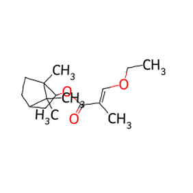 CCOC=C(C)C(=O)OC1CC2CCC1(C)C2(C)C